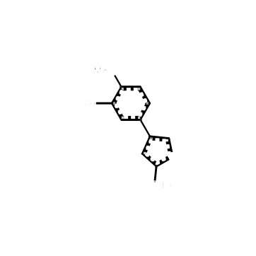 COc1ccc(-c2csc(C=O)c2)cc1C(C)(C)C